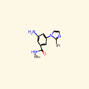 CC(C)c1nccn1-c1cc(N)cc(C(=O)NC(C)(C)C)c1